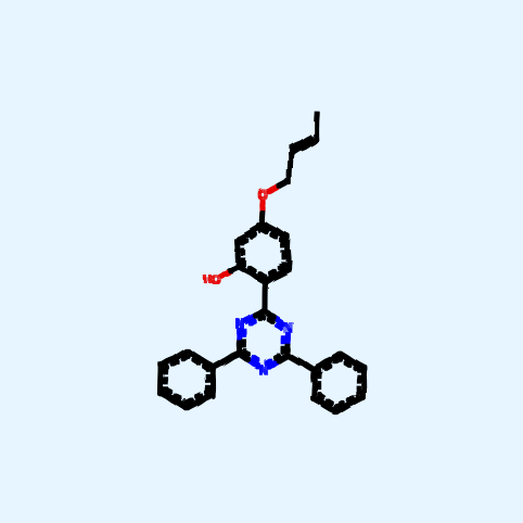 CC=CCOc1ccc(-c2nc(-c3ccccc3)nc(-c3ccccc3)n2)c(O)c1